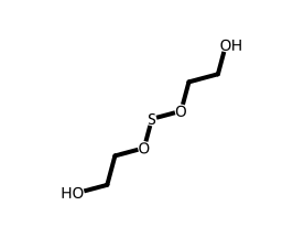 OCCOSOCCO